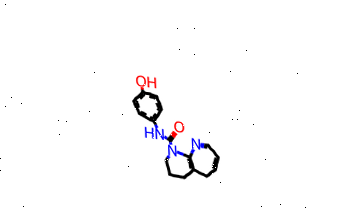 O=C(Nc1ccc(O)cc1)N1CCCC2=C1N=CC=CC2